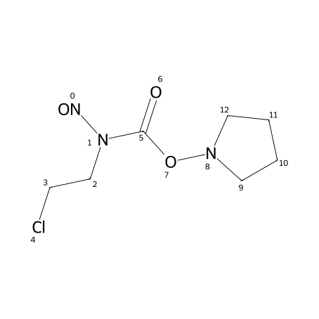 O=NN(CCCl)C(=O)ON1CCCC1